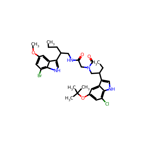 CCCC(CNC(=O)CN(C=O)CC(CC)c1c[nH]c2c(Cl)cc(OC(C)(C)C)cc12)c1c[nH]c2c(Br)cc(OC)cc12